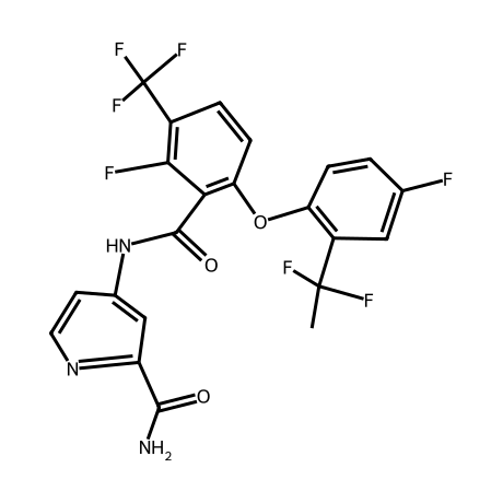 CC(F)(F)c1cc(F)ccc1Oc1ccc(C(F)(F)F)c(F)c1C(=O)Nc1ccnc(C(N)=O)c1